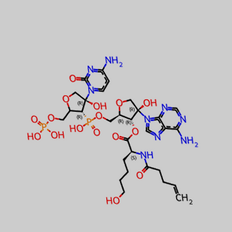 C=CCCC(=O)N[C@@H](CCCCO)C(=O)O[C@@H]1[C@@H](COP(=O)(O)[C@@H]2C(COP(=O)(O)O)OC[C@]2(O)n2ccc(N)nc2=O)OC[C@]1(O)n1cnc2c(N)ncnc21